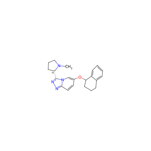 CN1CCC[C@H]1c1nnc2ccc(OC3CCCc4ccccc43)cn12